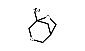 CC(C)(C)C12COCC(CO1)C2